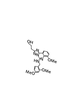 COc1ccc(CNc2nc3c(OC)cccc3c3nc(CCCO)nn23)c(OC)c1